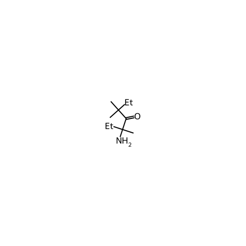 CCC(C)(C)C(=O)C(C)(N)CC